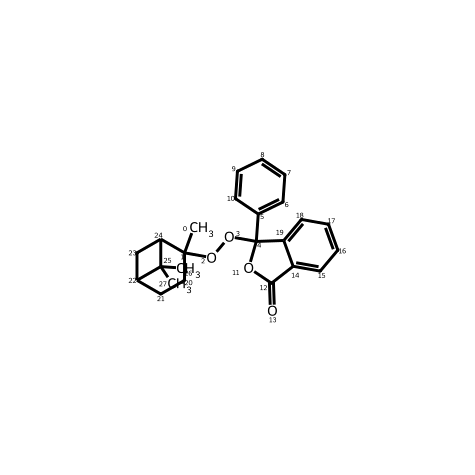 CC1(OOC2(c3ccccc3)OC(=O)c3ccccc32)CCC2CC1C2(C)C